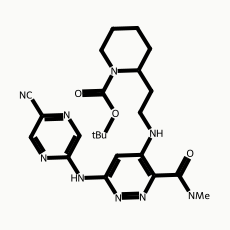 CNC(=O)c1nnc(Nc2cnc(C#N)cn2)cc1NCCC1CCCCN1C(=O)OC(C)(C)C